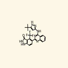 CC(C)(C)c1cc(Nc2nc(-c3ccc4[nH][nH]c(=O)c4c3C(F)(F)F)nc3ccccc23)n[nH]1